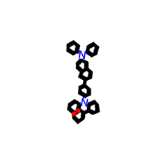 c1ccc(-c2ccccc2N(c2ccccc2)c2ccc(-c3ccc4cc(N(c5ccccc5)c5ccccc5)ccc4c3)cc2)cc1